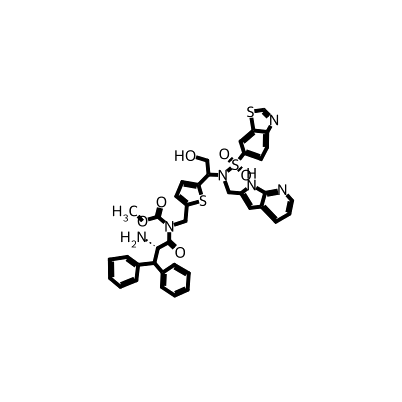 COC(=O)N(Cc1ccc(C(CO)N(Cc2cc3cccnc3[nH]2)S(=O)(=O)c2ccc3ncsc3c2)s1)C(=O)[C@@H](N)C(c1ccccc1)c1ccccc1